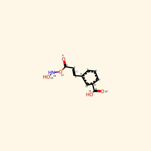 O=C(/C=C/c1cccc(C(=O)O)c1)ONO